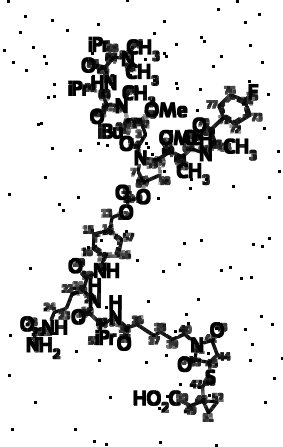 CC[C@H](C)[C@@H]([C@@H](CC(=O)N1C[C@@H](OC(=O)OCc2ccc(NC(=O)[C@H](CCCNC(N)=O)NC(=O)[C@@H](NC(=O)CCCCCN3C(=O)CC(SCC4(CC(=O)O)CC4)C3=O)C(C)C)cc2)C[C@H]1[C@H](OC)[C@@H](C)C(=O)N[C@@H](C)C(=O)c1ccc(F)cc1)OC)N(C)C(=O)[C@@H](NC(=O)[C@H](C(C)C)N(C)C)C(C)C